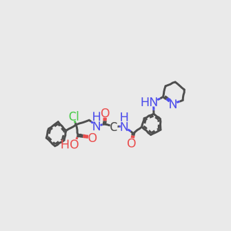 O=C(CNC(=O)c1cccc(NC2=NCCCC2)c1)NCC(Cl)(C(=O)O)c1ccccc1